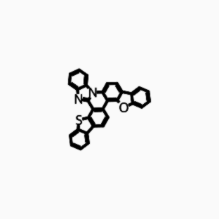 c1ccc2c(c1)nc1c3c(ccc4c5ccccc5sc43)c3c4oc5ccccc5c4ccc3n21